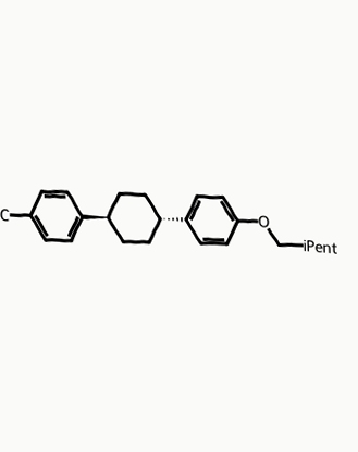 CCCC(C)COc1ccc([C@H]2CC[C@H](c3ccc(C#N)cc3)CC2)cc1